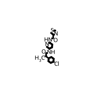 C[C@H](C(=O)Nc1ccc(NC(=O)c2cscn2)nc1)c1ccc(Cl)cc1